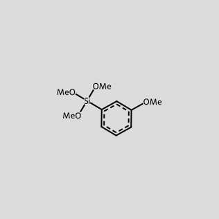 COc1cccc([Si](OC)(OC)OC)c1